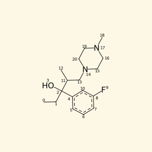 CCC(O)(c1cccc(F)c1)C(C)CN1CCN(C)CC1